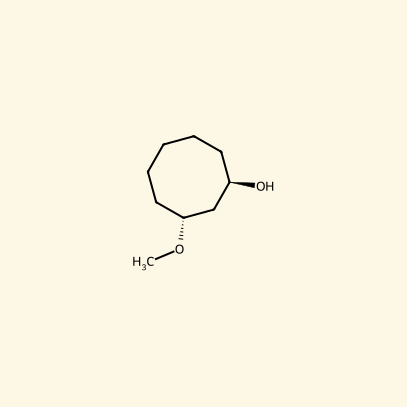 CO[C@@H]1CCCCC[C@@H](O)C1